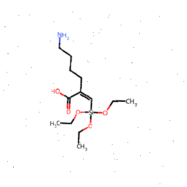 CCO[Si](C=C(CCCCN)C(=O)O)(OCC)OCC